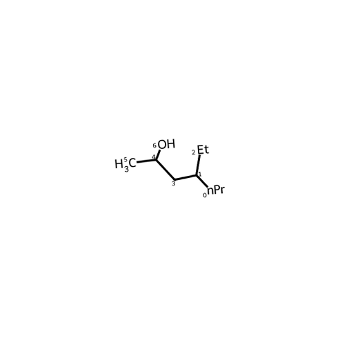 CCCC(CC)CC(C)O